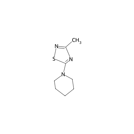 Cc1nsc(N2CCCCC2)n1